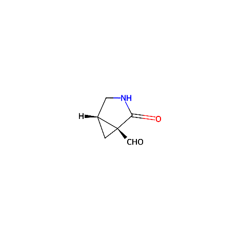 O=C[C@@]12C[C@@H]1CNC2=O